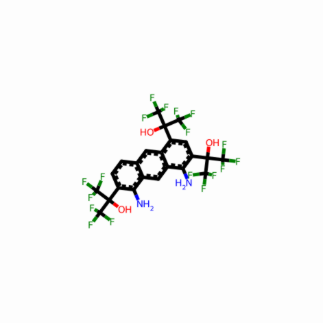 Nc1c(C(O)(C(F)(F)F)C(F)(F)F)ccc2cc3c(C(O)(C(F)(F)F)C(F)(F)F)cc(C(O)(C(F)(F)F)C(F)(F)F)c(N)c3cc12